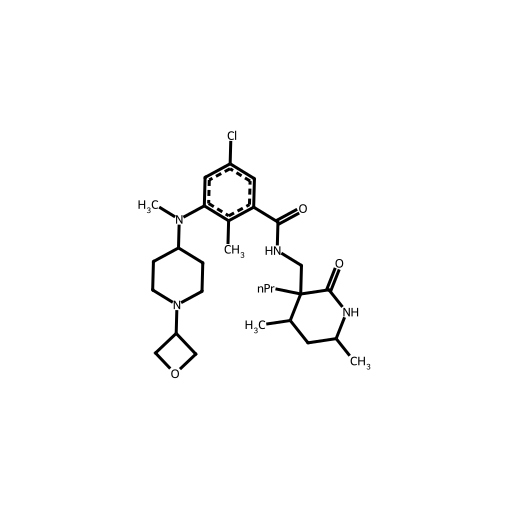 CCCC1(CNC(=O)c2cc(Cl)cc(N(C)C3CCN(C4COC4)CC3)c2C)C(=O)NC(C)CC1C